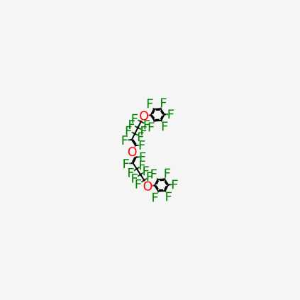 FC(OC(F)=C(F)C(F)(F)C(F)(F)C(F)(F)Oc1c(F)c(F)c(F)c(F)c1F)=C(F)C(F)(F)C(F)(F)C(F)(F)Oc1c(F)c(F)c(F)c(F)c1F